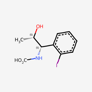 C[C@H](O)[C@@H](NC(=O)O)c1ccccc1I